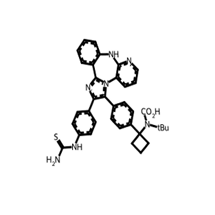 CC(C)(C)N(C(=O)O)C1(c2ccc(-c3c(-c4ccc(NC(N)=S)cc4)nc4n3-c3cccnc3Nc3ccccc3-4)cc2)CCC1